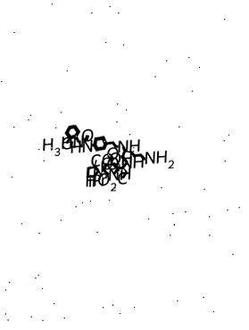 Cc1ccccc1NC(=O)Nc1ccc(CC(=O)N[C@@H](CCCCN)C(=O)N[C@@H](CC(=O)O)C(=O)N[C@H](C(=O)N2CCC[C@H]2C(=O)O)C(C)C)cc1